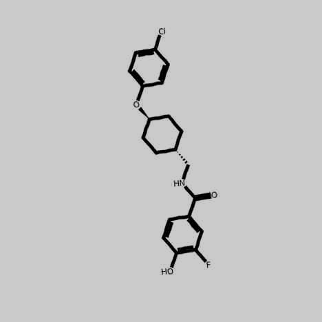 O=C(NC[C@H]1CC[C@H](Oc2ccc(Cl)cc2)CC1)c1ccc(O)c(F)c1